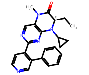 CC[C@@H]1C(=O)N(C)c2cnc(-c3ccncc3-c3ccccc3)nc2N1C1CC1